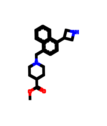 COC(=O)C1CCN(Cc2ccc(C3CNC3)c3ccccc23)CC1